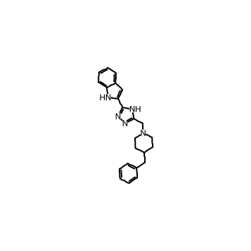 c1ccc(CC2CCN(Cc3nnc(-c4cc5ccccc5[nH]4)[nH]3)CC2)cc1